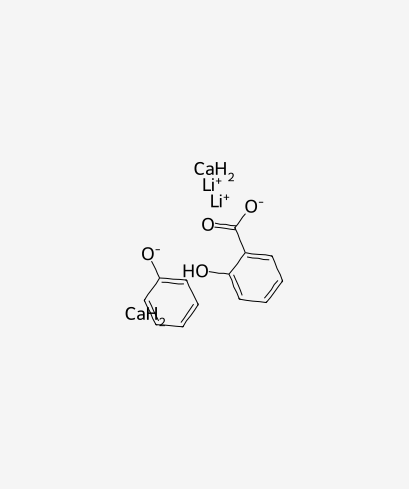 O=C([O-])c1ccccc1O.[CaH2].[CaH2].[Li+].[Li+].[O-]c1ccccc1